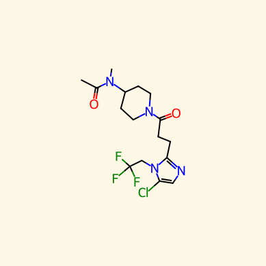 CC(=O)N(C)C1CCN(C(=O)CCc2ncc(Cl)n2CC(F)(F)F)CC1